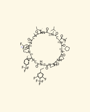 CC[C@H](C)[C@@H]1NC(=O)[C@H](CC(C)C)N(C)C(=O)C[C@@H](C(=O)N(C)C)N(C)C(=O)[C@H](C2CCCC2)N(C)C(=O)C2(CCCC2)NC(=O)[C@@H]2CCN2C(=O)[C@H](CCc2cc(F)c(C(F)(F)F)c(F)c2)NC(=O)CN(C)C(=O)[C@H](Cc2ccc(C(F)(F)F)cc2)N2CC/C=C(/F)C[C@@H](C2=O)N(C)C(=O)CN(C)C1=O